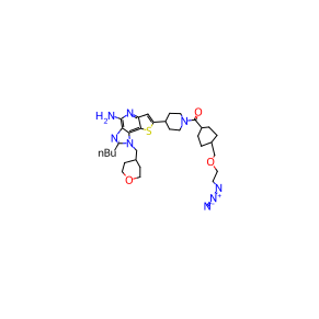 CCCCc1nc2c(N)nc3cc(C4CCN(C(=O)C5CCC(COCCN=[N+]=[N-])CC5)CC4)sc3c2n1CC1CCOCC1